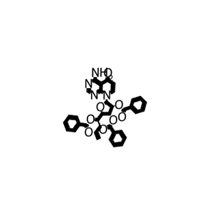 C=CC[C@@H](OC(=O)c1ccccc1)[C@H]1O[C@@H](n2ccc(=O)c3c(N)ncnc32)[C@H](OC(=O)c2ccccc2)[C@@H]1OC(=O)c1ccccc1